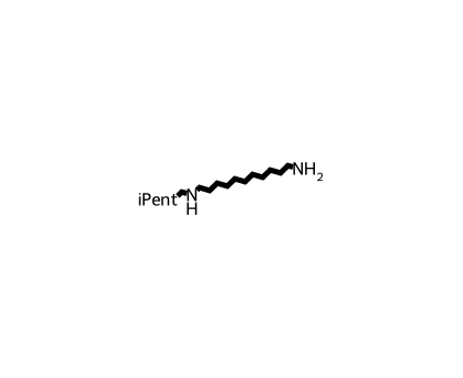 CCCC(C)CNCCCCCCCCCCCN